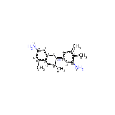 C=c1c(C)c/c(=C2\Cc3cc(N)cc(C)c3C=C2C)cc1N